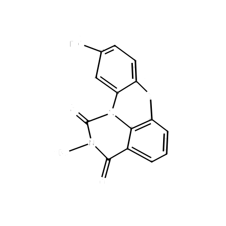 CCCCn1c(=O)c2cccc3c2n(c1=O)-c1cc(C(F)(F)F)ccc1S3